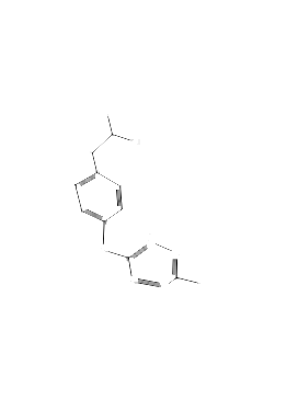 Cc1nnc(Nc2ccc(CC(C)N)cc2)nn1